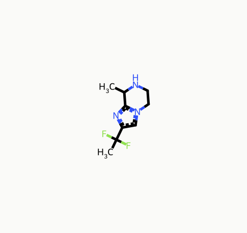 CC1NCCn2cc(C(C)(F)F)nc21